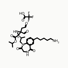 CC(C)OC(=O)[C@]1(C(C)CN2C(=O)CNC(=O)c3cc(CCCCCN)ccc32)NC1(C=O)CC=O.O=C(O)C(F)(F)F